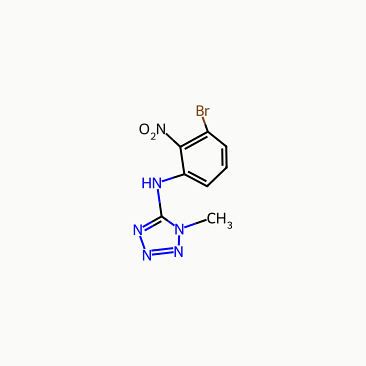 Cn1nnnc1Nc1cccc(Br)c1[N+](=O)[O-]